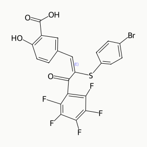 O=C(O)c1cc(/C=C(/Sc2ccc(Br)cc2)C(=O)c2c(F)c(F)c(F)c(F)c2F)ccc1O